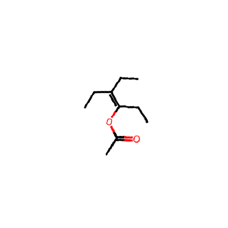 CCC(CC)=C(CC)OC(C)=O